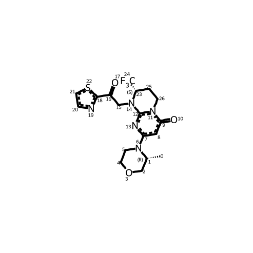 C[C@@H]1COCCN1c1cc(=O)n2c(n1)N(CC(=O)c1nccs1)[C@H](C(F)(F)F)CC2